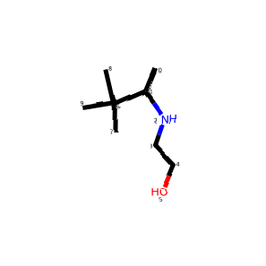 CC(NCCO)C(C)(C)C